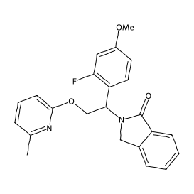 COc1ccc(C(COc2cccc(C)n2)N2Cc3ccccc3C2=O)c(F)c1